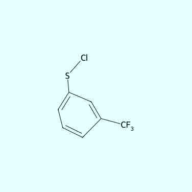 FC(F)(F)c1cccc(SCl)c1